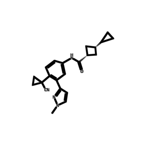 Cn1ccc(-c2cc(NC(=O)[C@H]3C[C@@H](C4CC4)C3)ccc2C2(C#N)CC2)n1